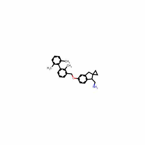 Cc1cccc(C)c1-c1cccc(COc2ccc3c(c2)CC2(CC2)C3CN)c1C